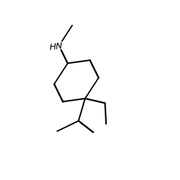 CCC1(C(C)C)CCC(NC)CC1